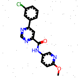 COc1ccc(NC(=O)c2cc(-c3cccc(Cl)c3)ncn2)cn1